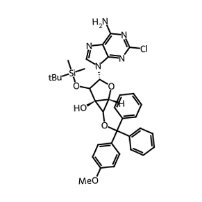 COc1ccc(C(OC2[C@H]3O[C@@H](n4cnc5c(N)nc(Cl)nc54)C(O[Si](C)(C)C(C)(C)C)[C@@]23O)(c2ccccc2)c2ccccc2)cc1